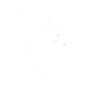 Cc1ncsc1-c1ccc([C@H](C)NC(=O)[C@@]2(C(=O)[C@@H](NC(=O)CCCN)C(C)(C)C)C[C@@H](O)CN2)cc1.Cl